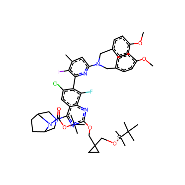 COc1ccc(CN(Cc2ccc(OC)cc2)c2cc(C)c(I)c(-c3c(Cl)cc4c(N5CC6CCC(C5)N6C(=O)OC(C)(C)C)nc(OCC5(CO[Si](C)(C)C(C)(C)C)CC5)nc4c3F)n2)cc1